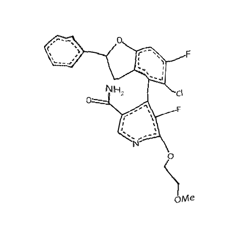 COCCOc1ncc(C(N)=O)c(-c2c(Cl)c(F)cc3c2CC(c2ccccc2)O3)c1F